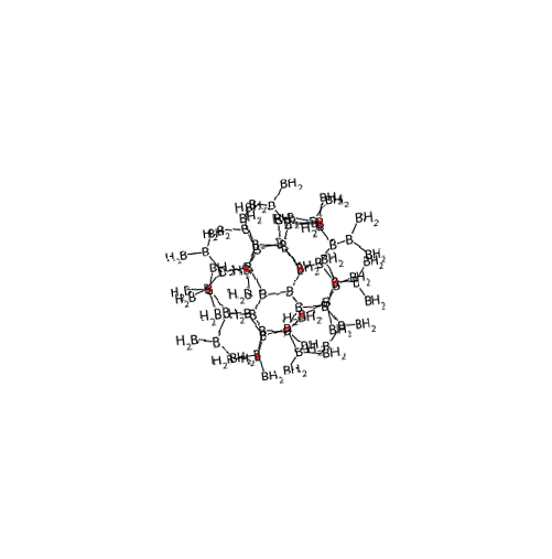 BBB(B)B(B(B(B)B)B(B)B)B(B(B(B(B)B)B(B)B)B(B(B)B)B(B)B)B(B(B(B(B)B)B(B)B)B(B(B)B)B(B)B)B(B(B(B(B)B)B(B)B)B(B(B)B)B(B)B)B(B(B(B)B)B(B)B)B(B(B)B)B(B)B